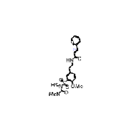 CNC(=O)N(S)S(=O)(=O)c1cc(CCNC(=O)/C=C/c2ccccn2)ccc1OC